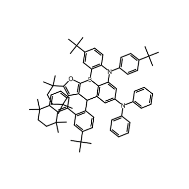 CC(C)(C)c1ccc(N2c3ccc(C(C)(C)C)cc3B3c4oc5c(c4C(c4ccc(C(C)(C)C)cc4-c4cccc6c4C(C)(C)CCC6(C)C)c4cc(N(c6ccccc6)c6ccccc6)cc2c43)C(C)(C)CCC5(C)C)cc1